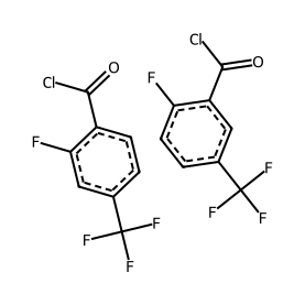 O=C(Cl)c1cc(C(F)(F)F)ccc1F.O=C(Cl)c1ccc(C(F)(F)F)cc1F